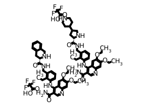 CCOc1cc2ncc(C(N)=O)c(Nc3cccc(CNC(=O)[C@@H]4CC(C5CCNCC5)CN4)c3CC)c2cc1OCC.CCOc1cc2ncc(C(N)=O)c(Nc3cccc(CNC(=O)[C@@H]4Cc5ccccc5CN4)c3CC)c2cc1OCC.O=C(O)C(F)(F)F.O=C(O)C(F)(F)F